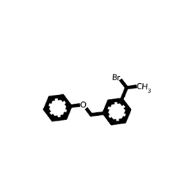 CC(Br)c1cccc(COc2ccccc2)c1